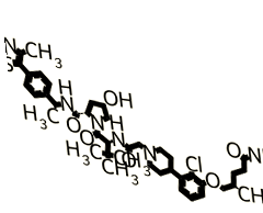 Cc1ncsc1-c1ccc([C@H](C)NC(=O)[C@@H]2C[C@@H](O)CN2C(=O)[C@@H](NC(=O)CN2CCC(c3cccc(OC[C@@H](C)CCC(N)=O)c3Cl)CC2)C(C)(C)C)cc1